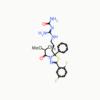 CO[C@@H](C)C(=O)N1N=C(c2cc(F)ccc2F)SC1(CCCN/C(N)=N/C(N)=O)c1ccccc1